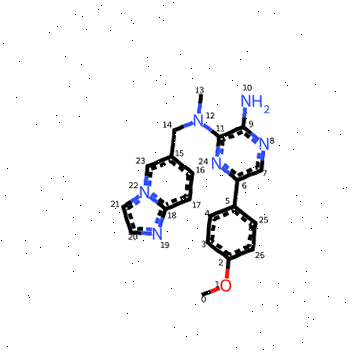 COc1ccc(-c2cnc(N)c(N(C)Cc3ccc4nccn4c3)n2)cc1